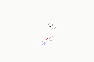 O=c1cc(CN2CCOCC2)occ1OCCOc1ccnc2cc(C(F)(F)F)ccc12